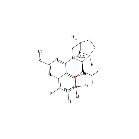 CCSc1nc(N2C[C@H]3CC[C@@H]([C@H]2C(O[Si](CC)(CC)CC)C(F)F)N3C(=O)O)c2c(Br)nc(Cl)c(F)c2n1